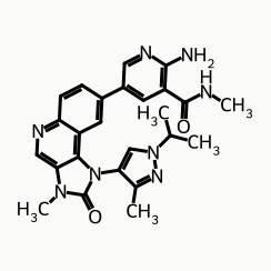 CNC(=O)c1cc(-c2ccc3ncc4c(c3c2)n(-c2cn(C(C)C)nc2C)c(=O)n4C)cnc1N